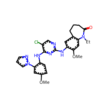 CCN1C(=O)CCCc2cc(Nc3ncc(Cl)c(Nc4ccc(OC)cc4-n4cccn4)n3)c(OC)cc21